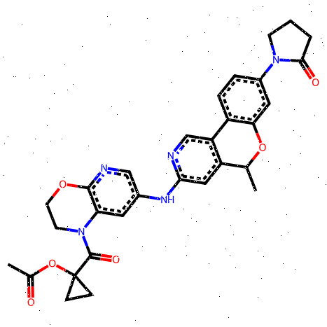 CC(=O)OC1(C(=O)N2CCOc3ncc(Nc4cc5c(cn4)-c4ccc(N6CCCC6=O)cc4OC5C)cc32)CC1